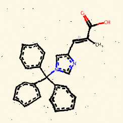 C/C(=C\c1cn(C(c2ccccc2)(c2ccccc2)c2ccccc2)cn1)C(=O)O